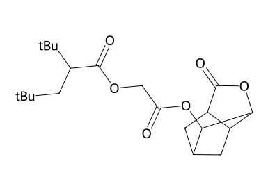 CC(C)(C)CC(C(=O)OCC(=O)OC1C2CC3C(=O)OC1C3C2)C(C)(C)C